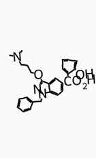 CN(C)CCCOc1nn(Cc2ccccc2)c2ccccc12.O=C(O)c1ccccc1O